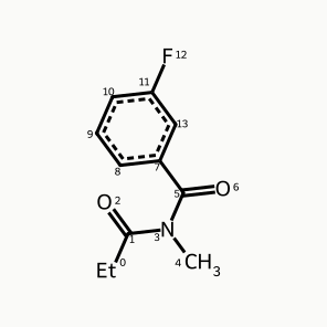 CCC(=O)N(C)C(=O)c1cccc(F)c1